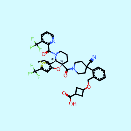 CCC[C@H]1N(C(=O)c2ncccc2C(F)(F)F)CCC[C@@]1(Oc1csc(C(F)(F)F)c1)C(=O)N1CCC(C#N)(c2ccccc2COC2CC(C(=O)O)C2)CC1